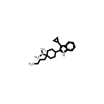 CCCCC1(N(C)C)CCC(c2[nH]c3ccccc3c2C2CC2)CC1